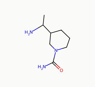 CC(N)C1CCCN(C(N)=O)C1